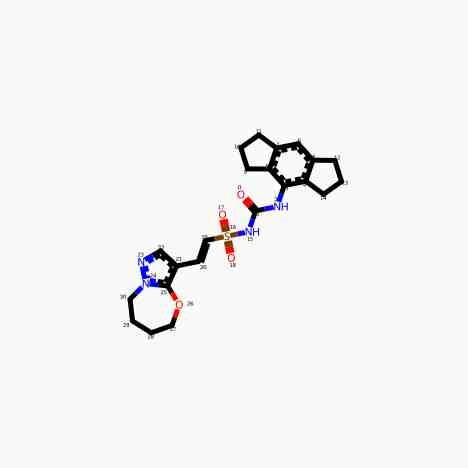 O=C(Nc1c2c(cc3c1CCC3)CCC2)NS(=O)(=O)/C=C/c1cnn2c1OCCCC2